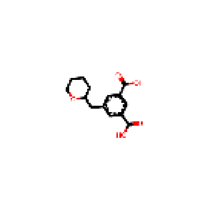 O=C(O)c1cc(CC2CCCCO2)cc(C(=O)O)c1